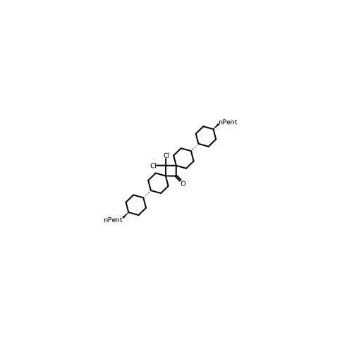 CCCCC[C@H]1CC[C@H](C2CCC3(CC2)C(=O)C2(CCC([C@H]4CC[C@H](CCCCC)CC4)CC2)C3(Cl)Cl)CC1